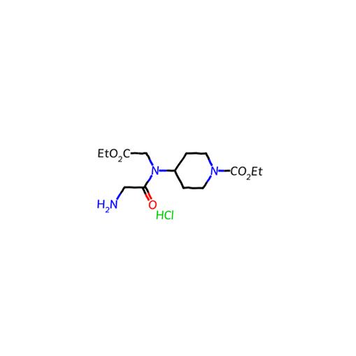 CCOC(=O)CN(C(=O)CN)C1CCN(C(=O)OCC)CC1.Cl